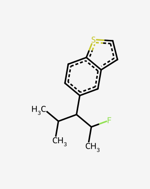 CC(C)C(c1ccc2sccc2c1)C(C)F